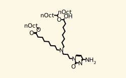 CCCCCCCCOC(=O)CCCCCCCN(CCCCCCCC(O)OC(CCCCCCCC)CCCCCCCC)CCCn1ccc(N)nc1=O